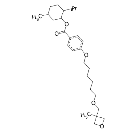 CC1CCC(C(C)C)C(OC(=O)c2ccc(OCCCCCCOCC3(C)COC3)cc2)C1